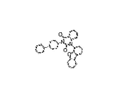 O=c1c2ccccc2n(-c2cccc3c2oc2ccccc23)c(=O)n1-c1ccc(-c2ccccc2)cc1